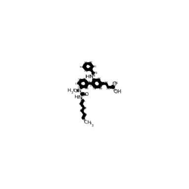 CCCCCCCNC(=O)N(C)c1cccc(-c2ccc(CCC(=O)O)cc2NCc2ccccc2)c1